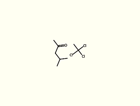 CC(=O)CC(C)C.CC(Cl)(Cl)Cl